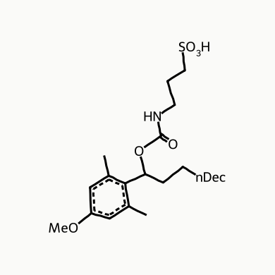 CCCCCCCCCCCCC(OC(=O)NCCCS(=O)(=O)O)c1c(C)cc(OC)cc1C